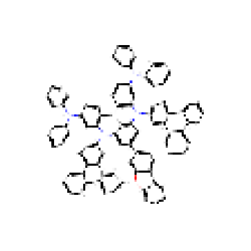 c1ccc(N(c2ccccc2)c2ccc3c(c2)N(c2ccc4c5ccccc5c5ccccc5c4c2)c2cc(-c4ccc5c(c4)oc4ccccc45)cc4c2B3c2ccc(N(c3ccccc3)c3ccccc3)cc2N4c2ccc3c4ccccc4c4ccccc4c3c2)cc1